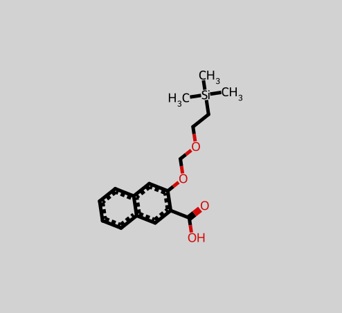 C[Si](C)(C)CCOCOc1cc2ccccc2cc1C(=O)O